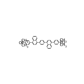 CP(C)(=O)c1ccc(-c2ccc(-c3ccc(-c4ccc(-c5ccc(P(C)(C)=O)cc5)c5ccccc45)cc3)c3ccccc23)cc1